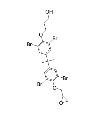 CC(C)(c1cc(Br)c(OCCCO)c(Br)c1)c1cc(Br)c(OCC2CO2)c(Br)c1